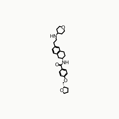 O=C(N[C@H]1CCc2cc(CCNC3CCOCC3)ccc2C1)c1ccc(OC[C@@H]2CCCO2)cc1